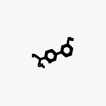 CC(C)C(C)c1ccc(-c2cccc(C(C)(C)C)c2)cn1